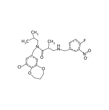 CC(C)CN(Cc1cc(Cl)c2c(c1)OCCCO2)C(=O)C(C)CNCc1ccc(F)c([N+](=O)[O-])c1